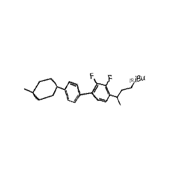 CC[C@H](C)CCC(C)c1ccc(-c2ccc(C3CCC(C)CC3)cc2)c(F)c1F